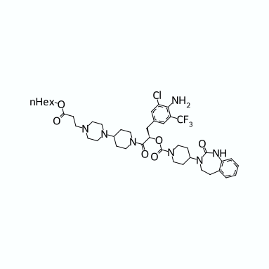 CCCCCCOC(=O)CCN1CCN(C2CCN(C(=O)[C@@H](Cc3cc(Cl)c(N)c(C(F)(F)F)c3)OC(=O)N3CCC(N4CCc5ccccc5NC4=O)CC3)CC2)CC1